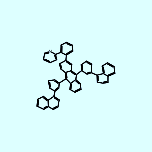 c1ccc(-c2ccccc2-c2ccc3c(-c4cccc(-c5cccc6ccccc56)c4)c4ccccc4c(-c4cccc(-c5cccc6ccccc56)c4)c3c2)nc1